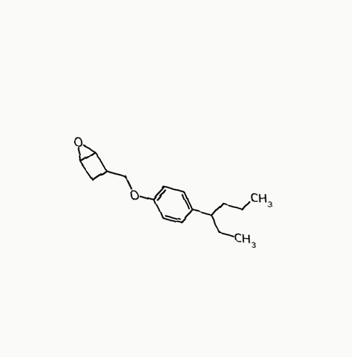 CCCC(CC)c1ccc(OCC2CC3OC23)cc1